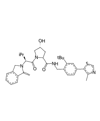 C=C1c2ccccc2CN1[C@H](C(=O)N1C[C@H](O)CC1C(=O)NCc1ccc(-c2scnc2C)cc1C(C)(C)C)C(C)C